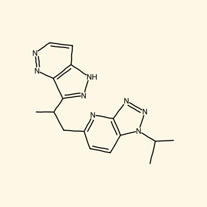 CC(Cc1ccc2c(nnn2C(C)C)n1)c1n[nH]c2ccnnc12